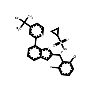 CC(C)(O)c1ccnc(-c2cccc3cc([C@H](NS(=O)(=O)C4CC4)c4c(F)cccc4Cl)sc23)c1